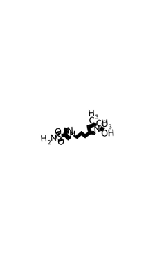 CC1(C)CC(CCCn2cc(S(N)(=O)=O)cn2)CN1C(=O)O